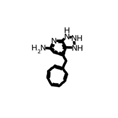 Nc1cc(CC2=C/C=C\C=C/C=C\2)c2c(n1)NNN2